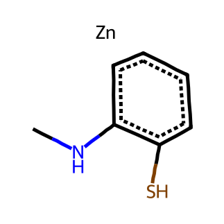 CNc1ccccc1S.[Zn]